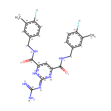 Cc1cc(CNC(=O)c2cc(C(=O)NCc3ccc(F)c(C)c3)[nH]/c(=N\C(=N)N)n2)ccc1F